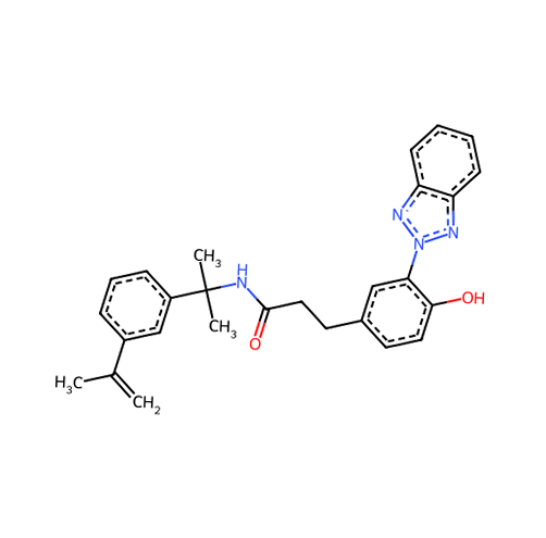 C=C(C)c1cccc(C(C)(C)NC(=O)CCc2ccc(O)c(-n3nc4ccccc4n3)c2)c1